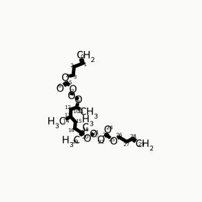 C=CCCOC(=O)OOOC(C)CC(C)CCC(C)(C)OOOC(=O)OCCC=C